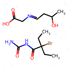 CC(O)C/C=N/CC(=O)O.CCC(Br)(CC)C(=O)NC(N)=O